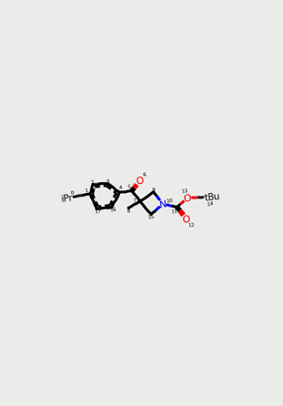 CC(C)c1ccc(C(=O)C2(C)CN(C(=O)OC(C)(C)C)C2)cc1